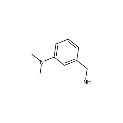 CN(C)c1cccc(C[NH])c1